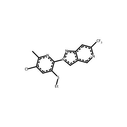 CCSc1cc(Cl)c(C)nc1-n1cc2cnc(C(F)(F)F)cc2n1